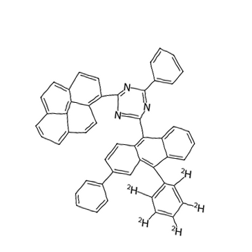 [2H]c1c([2H])c([2H])c(-c2c3ccccc3c(-c3nc(-c4ccccc4)nc(-c4ccc5ccc6cccc7ccc4c5c67)n3)c3ccc(-c4ccccc4)cc23)c([2H])c1[2H]